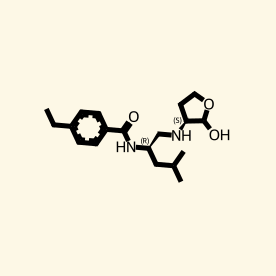 CCc1ccc(C(=O)N[C@@H](CN[C@H]2CCOC2O)CC(C)C)cc1